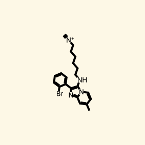 C#[N+]CCCCCCNc1c(-c2ccccc2Br)nc2cc(C)ccn12